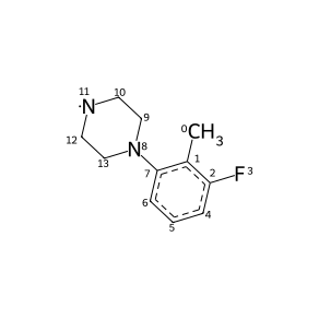 Cc1c(F)cccc1N1CC[N]CC1